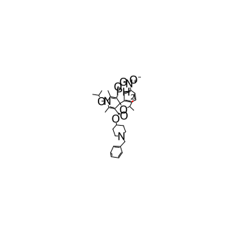 CC1=C([PH2]=O)C(OC(C)C)(c2cccc([N+](=O)[O-])c2)C(C(=O)OC2CCN(Cc3ccccc3)CC2)=C(C)N1OC(C)C